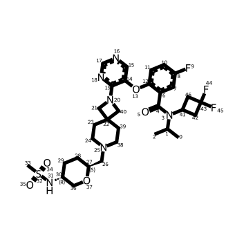 CC(C)N(C(=O)c1cc(F)ccc1Oc1cncnc1N1CC2(CCN(C[C@@H]3CC[C@@H](NS(C)(=O)=O)CO3)CC2)C1)C1CC(F)(F)C1